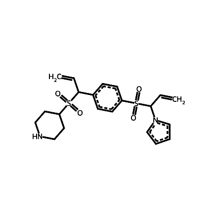 C=CC(n1cccc1)S(=O)(=O)c1ccc(C(C=C)S(=O)(=O)C2CCNCC2)cc1